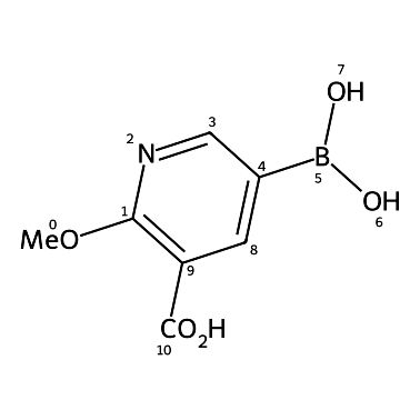 COc1ncc(B(O)O)cc1C(=O)O